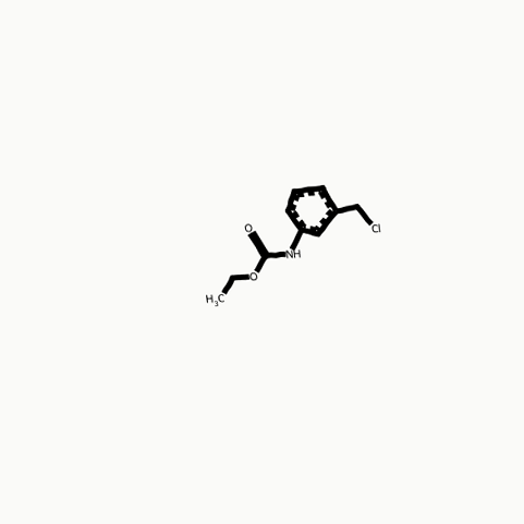 CCOC(=O)Nc1cccc(CCl)c1